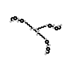 O=C(CCCCCCOc1ccc(C(=O)Oc2ccc3ccc(=O)oc3c2)cc1)OCC(COC(=O)CCCCCCOc1ccc(C(=O)Oc2ccc3ccc(=O)oc3c2)cc1)OC(=O)CCCCCCOc1ccc(C(=O)Oc2ccc3ccc(=O)oc3c2)cc1